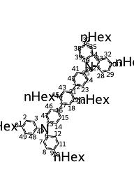 CCCCCCc1ccc(N(c2ccc(CCCCCC)cc2)c2ccc(-c3cc(CCCCCC)c(-c4ccc(-n5c6ccc(CCCCCC)cc6c6cc(CCCCCC)ccc65)cc4)cc3CCCCCC)cc2)cc1